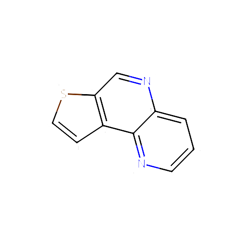 c1cnc2c(c1)ncc1sccc12